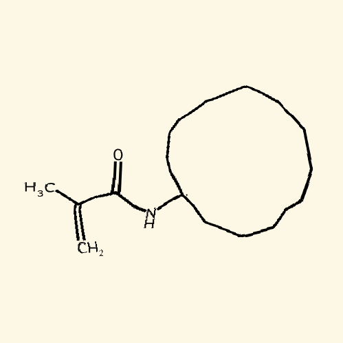 C=C(C)C(=O)N[C]1CCCCCCCCCCC1